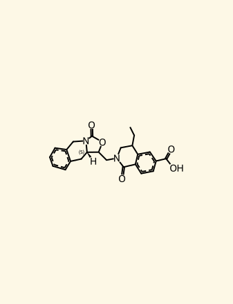 CCC1CN(CC2OC(=O)N3Cc4ccccc4C[C@@H]23)C(=O)c2ccc(C(=O)O)cc21